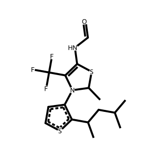 CC(C)CC(C)c1sccc1N1C(C(F)(F)F)=C(NC=O)SC1C